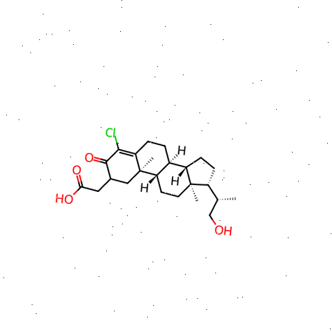 C[C@H](CO)[C@H]1CC[C@H]2[C@@H]3CCC4=C(Cl)C(=O)C(CC(=O)O)C[C@]4(C)[C@H]3CC[C@]12C